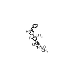 CC(=O)NC[C@H]1CN(c2cc(C)c(N3CCNN(Cc4ccncc4)CC3)c(F)c2)C(=O)O1